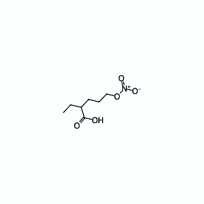 CCC(CCCO[N+](=O)[O-])C(=O)O